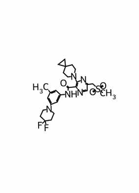 Cc1cc(NC(=O)c2ncc(CS(C)(=O)=O)nc2N2CCC3(CC2)CC3)cc(N2CCC(F)(F)CC2)c1